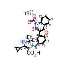 CCC1(CC)NC(C2CC2)=C(C(=O)O)N1Cc1ccc2oc(-c3ccccc3NC(=O)OC(C)(C)C)c(Br)c2c1